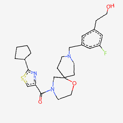 O=C(c1csc(C2CCCC2)n1)N1CCOC2(CCN(Cc3cc(F)cc(CCO)c3)CC2)C1